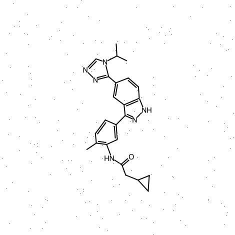 Cc1ccc(-c2n[nH]c3ccc(-c4nncn4C(C)C)cc23)cc1NC(=O)CC1CC1